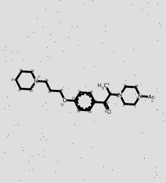 CC(=O)N1CCN(C(C)C(=O)c2ccc(OCCCN3CCCCC3)cc2)CC1